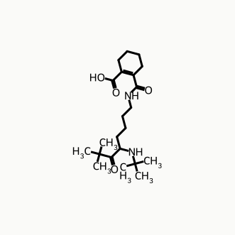 CC(C)(C)NC(CCCCNC(=O)C1=C(C(=O)O)CCCC1)C(=O)C(C)(C)C